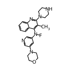 Cc1c(N2CCNCC2)nc2ccccc2c1N(F)c1cncc(N2CCOCC2)c1